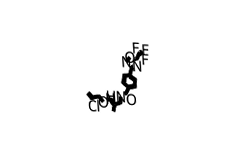 C=C(Cl)CON=C(C)CNC(=O)c1ccc(-c2noc(C(F)(F)F)n2)cc1